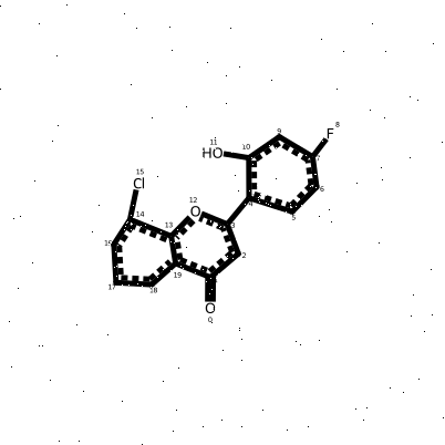 O=c1cc(-c2ccc(F)cc2O)oc2c(Cl)cccc12